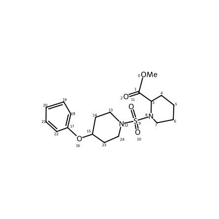 COC(=O)C1CCCCN1S(=O)(=O)N1CCC(Oc2ccccc2)CC1